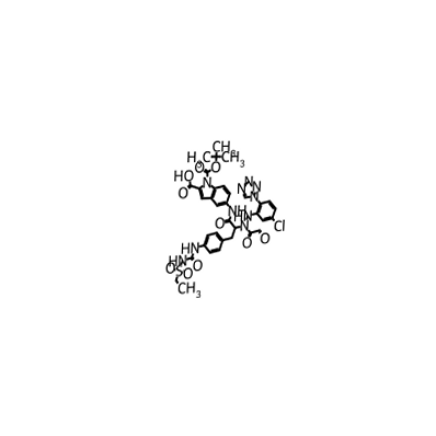 CCS(=O)(=O)NC(=O)Nc1ccc(CC(C(=O)Nc2ccc3c(c2)cc(C(=O)O)n3C(=O)OC(C)(C)C)N(Nc2cc(Cl)ccc2-n2cnnn2)C(=O)C=O)cc1